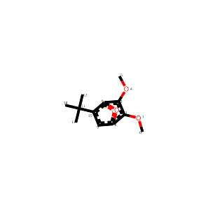 COc1c(OC)c2oc1cc2C(C)(C)C